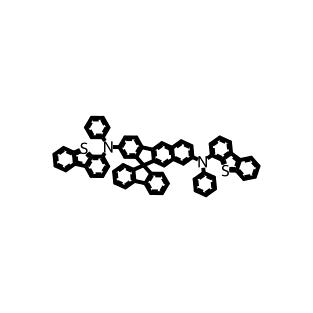 c1ccc(N(c2ccc3c(c2)C2(c4ccccc4-c4ccccc42)c2cc4cc(N(c5ccccc5)c5cccc6c5sc5ccccc56)ccc4cc2-3)c2cccc3c2sc2ccccc23)cc1